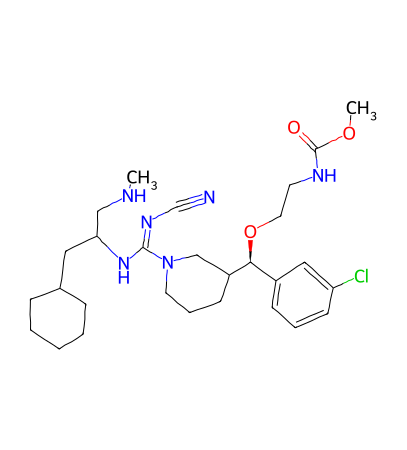 CNCC(CC1CCCCC1)NC(=NC#N)N1CCCC([C@@H](OCCNC(=O)OC)c2cccc(Cl)c2)C1